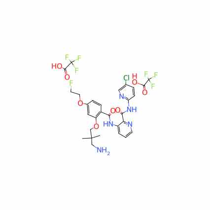 CC(C)(CN)COc1cc(OCCF)ccc1C(=O)Nc1cccnc1C(=O)Nc1ccc(Cl)cn1.O=C(O)C(F)(F)F.O=C(O)C(F)(F)F